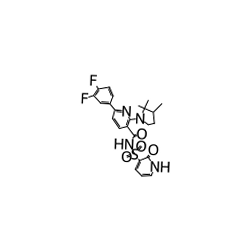 CC1CCN(c2nc(-c3ccc(F)c(F)c3)ccc2C(=O)NS(=O)(=O)c2ccc[nH]c2=O)C1(C)C